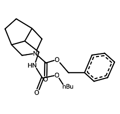 CCCCOC(=O)NCC1C2CCC1CN(C(=O)OCc1ccccc1)C2